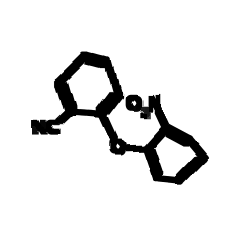 N#Cc1ccccc1Oc1ccccc1[N+](=O)[O-]